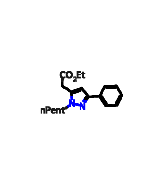 CCCCCn1nc(-c2ccccc2)cc1CC(=O)OCC